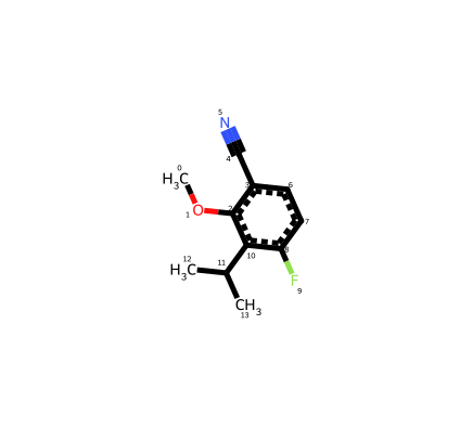 COc1c(C#N)ccc(F)c1C(C)C